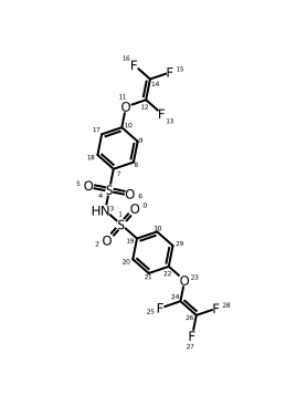 O=S(=O)(NS(=O)(=O)c1ccc(OC(F)=C(F)F)cc1)c1ccc(OC(F)=C(F)F)cc1